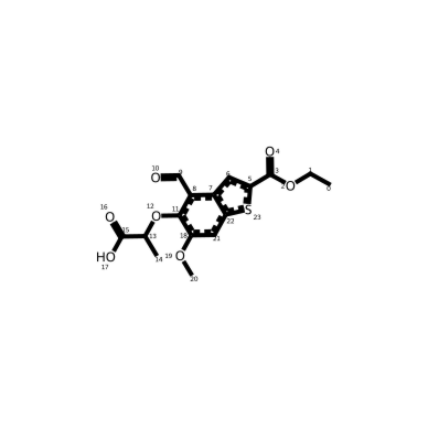 CCOC(=O)c1cc2c(C=O)c(OC(C)C(=O)O)c(OC)cc2s1